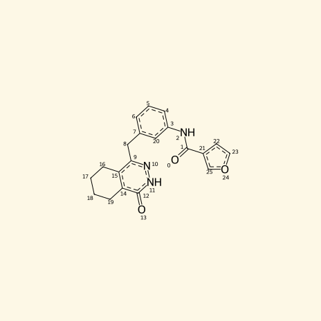 O=C(Nc1cccc(Cc2n[nH]c(=O)c3c2CCCC3)c1)c1ccoc1